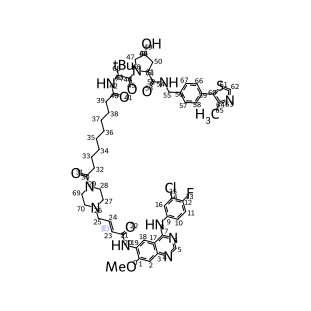 COc1cc2ncnc(Nc3ccc(F)c(Cl)c3)c2cc1NC(=O)/C=C/CN1CCN(C(=O)CCCCCCCCC(=O)N[C@H](C(=O)N2C[C@H](O)C[C@H]2C(=O)NCc2ccc(-c3scnc3C)cc2)C(C)(C)C)CC1